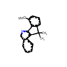 COc1cccc2c1-c1ncc3ccccc3c1C2(C)C